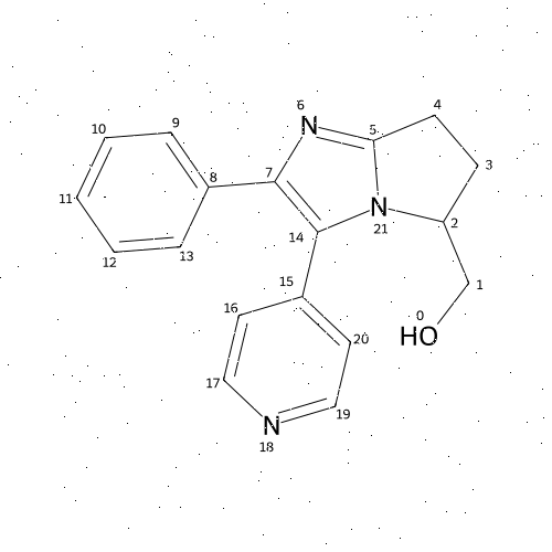 OCC1CCc2nc(-c3ccccc3)c(-c3ccncc3)n21